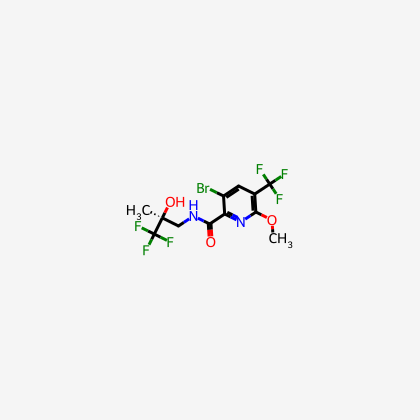 COc1nc(C(=O)NC[C@](C)(O)C(F)(F)F)c(Br)cc1C(F)(F)F